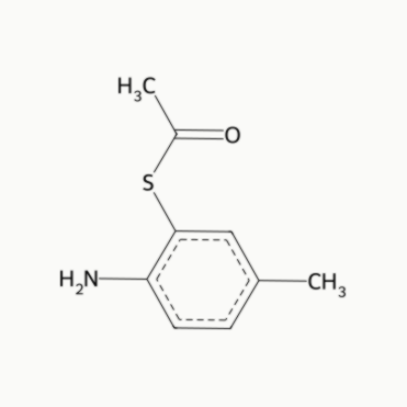 CC(=O)Sc1cc(C)ccc1N